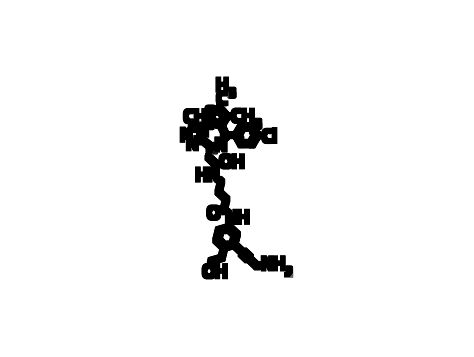 Cc1sc2c(c1C)C(c1ccc(Cl)cc1)=N[C@@H](CC(O)NCCCC(=O)Nc1ccc(CCO)c(C#CCN)c1)c1nnc(C)n1-2